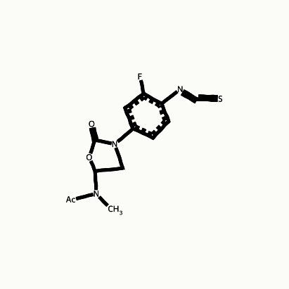 CC(=O)N(C)C1CN(c2ccc(N=C=S)c(F)c2)C(=O)O1